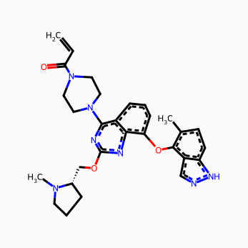 C=CC(=O)N1CCN(c2nc(OC[C@@H]3CCCN3C)nc3c(Oc4c(C)ccc5[nH]ncc45)cccc23)CC1